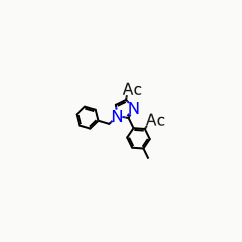 CC(=O)c1cn(Cc2ccccc2)c(-c2ccc(C)cc2C(C)=O)n1